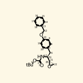 CC(C)(C)OC(=O)N[C@@H](Cc1ccc(OCc2ccccc2)cc1)[C@@H]1CO1